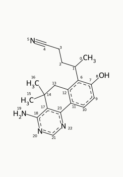 CC(CCC#N)c1c(O)ccc2c1CC(C)(C)c1c(N)ncnc1-2